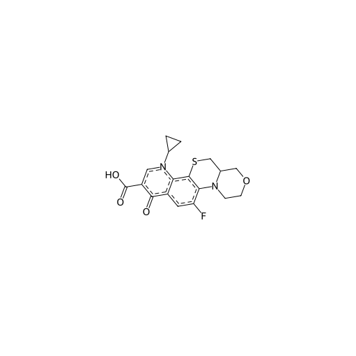 O=C(O)c1cn(C2CC2)c2c3c(c(F)cc2c1=O)N1CCOCC1CS3